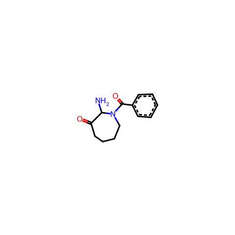 NC1C(=O)CCCCN1C(=O)c1ccccc1